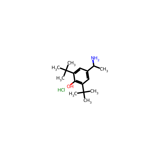 CC(N)c1cc(C(C)(C)C)c(O)c(C(C)(C)C)c1.Cl